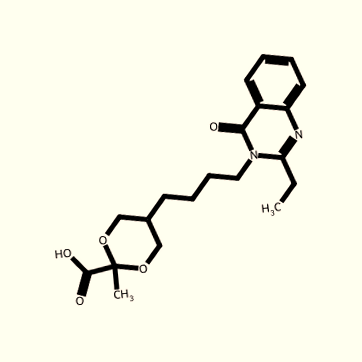 CCc1nc2ccccc2c(=O)n1CCCCC1COC(C)(C(=O)O)OC1